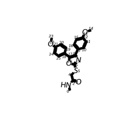 CNC(=O)CSc1nc(-c2ccc(OC)cc2)c(-c2ccc(OC)cc2)o1